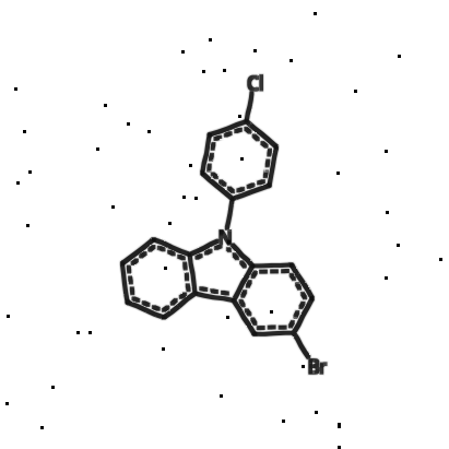 Clc1ccc(-n2c3ccccc3c3cc(Br)ccc32)cc1